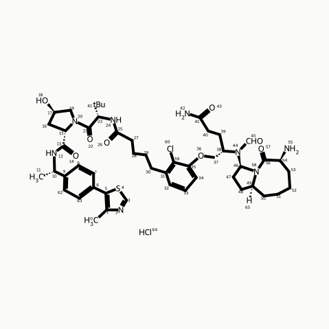 Cc1ncsc1-c1ccc([C@H](C)NC(=O)[C@@H]2C[C@@H](O)CN2C(=O)[C@@H](NC(=O)CCCCc2cccc(OC[C@H](CCC(N)=O)N(C=O)[C@@H]3CC[C@@H]4CCCC[C@H](N)C(=O)N43)c2Cl)C(C)(C)C)cc1.Cl